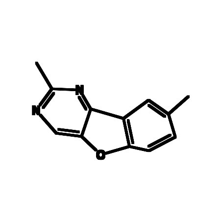 Cc1ccc2oc3cnc(C)nc3c2c1